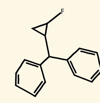 FC1CC1C(c1ccccc1)c1ccccc1